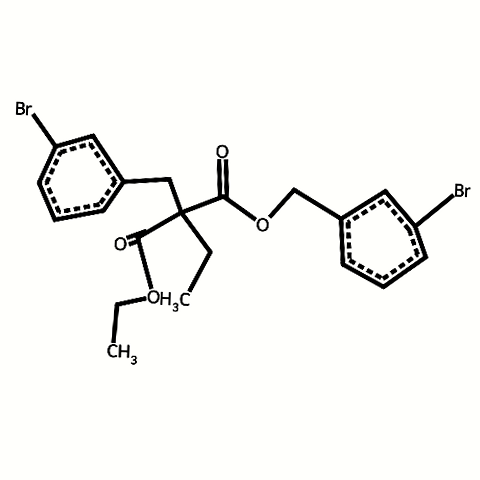 CCOC(=O)C(CC)(Cc1cccc(Br)c1)C(=O)OCc1cccc(Br)c1